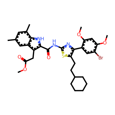 COC(=O)Cc1c(C(=O)Nc2nc(-c3cc(Br)c(OC)cc3OC)c(CCC3CCCCC3)s2)[nH]c2c(C)cc(C)cc12